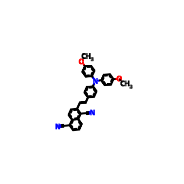 COc1ccc(N(c2ccc(C=Cc3ccc4c(C#N)cccc4c3C#N)cc2)c2ccc(OC)cc2)cc1